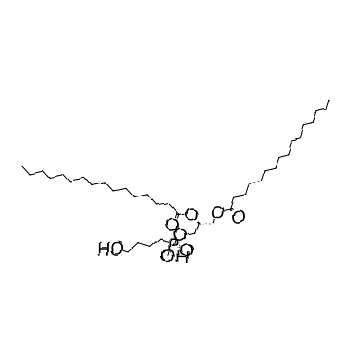 CCCCCCCCCCCCCCCC(=O)OC[C@H](COP(=O)(O)CCCCO)OC(=O)CCCCCCCCCCCCCCC